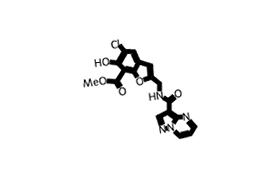 COC(=O)c1c(O)c(Cl)cc2cc(CNC(=O)c3cnn4cccnc34)oc12